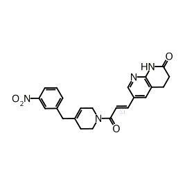 O=C1CCc2cc(/C=C/C(=O)N3CC=C(Cc4cccc([N+](=O)[O-])c4)CC3)cnc2N1